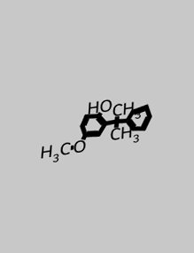 COc1ccc(O)c(C(C)(C)c2ccccc2)c1